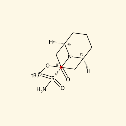 CC(C)(C)OC(=O)N1[C@@H]2CCC[C@H]1C[C@H](S(N)(=O)=O)C2